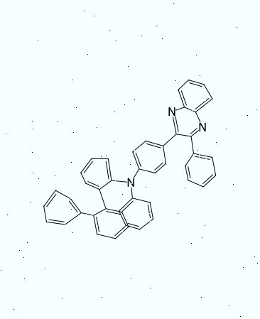 c1ccc(-c2ccccc2-c2ccccc2N(c2ccccc2)c2ccc(-c3nc4ccccc4nc3-c3ccccc3)cc2)cc1